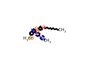 CCCCCCCCCCOc1ccc(S(=O)(=O)c2cnc3ccc([S+](C)[O-])cc3c2N2CCC(N3CCN(C)CC3)CC2)cc1